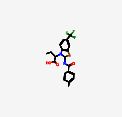 CCC(C(=O)O)n1/c(=N/C(=O)c2ccc(C)cc2)sc2cc(C(F)(F)F)ccc21